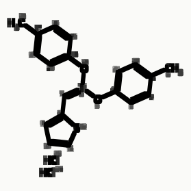 Cc1ccc([O][Ti](=[CH]c2cccs2)[O]c2ccc(C)cc2)cc1.Cl.Cl